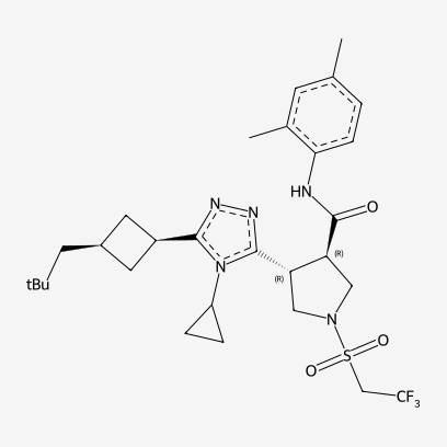 Cc1ccc(NC(=O)[C@H]2CN(S(=O)(=O)CC(F)(F)F)C[C@@H]2c2nnc([C@H]3C[C@@H](CC(C)(C)C)C3)n2C2CC2)c(C)c1